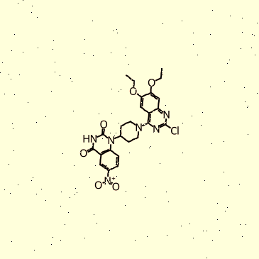 CCOc1cc2nc(Cl)nc(N3CCC(n4c(=O)[nH]c(=O)c5cc([N+](=O)[O-])ccc54)CC3)c2cc1OCC